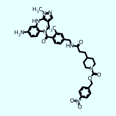 Cc1cc(CNC(=O)CCC2CCN(C(=O)OCc3ccc([N+](=O)[O-])cc3)CC2)ccc1C(=O)N1Cc2cnn(C)c2Nc2cc(N)ccc21